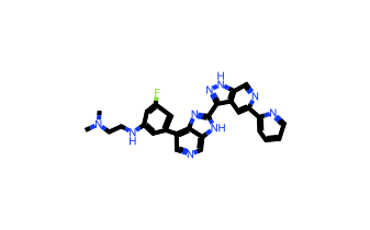 CN(C)CCNc1cc(F)cc(-c2cncc3[nH]c(-c4n[nH]c5cnc(-c6ccccn6)cc45)nc23)c1